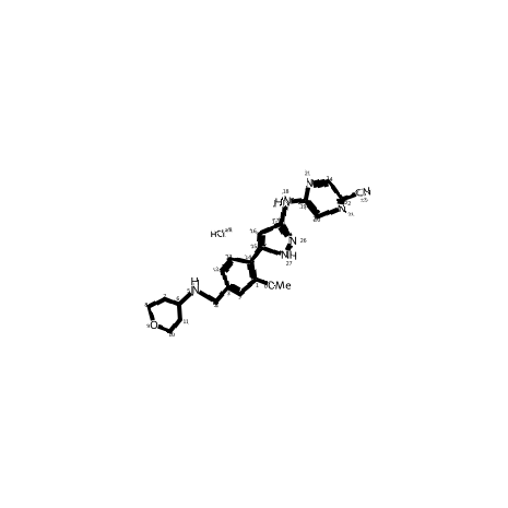 COc1cc(CNC2CCOCC2)ccc1-c1cc(Nc2cnc(C#N)cn2)n[nH]1.Cl